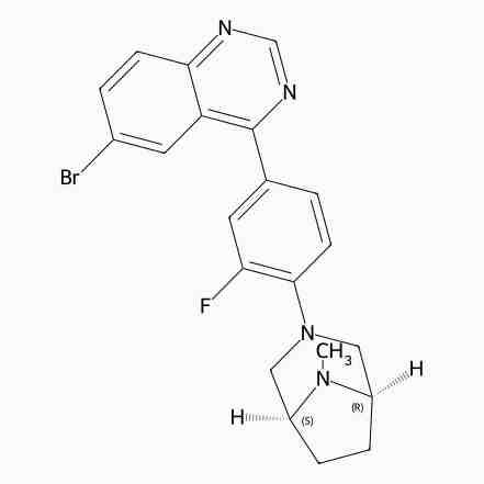 CN1[C@@H]2CC[C@H]1CN(c1ccc(-c3ncnc4ccc(Br)cc34)cc1F)C2